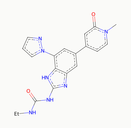 CCNC(=O)Nc1nc2cc(-c3ccn(C)c(=O)c3)cc(-n3cccn3)c2[nH]1